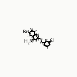 Nc1cc(CCc2cccc(Cl)c2)nc2ccc(Br)cc12